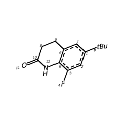 CC(C)(C)c1cc(F)c2c(c1)CCC(=O)N2